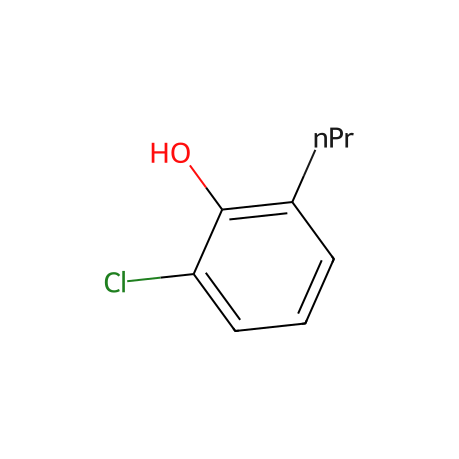 CCCc1cccc(Cl)c1O